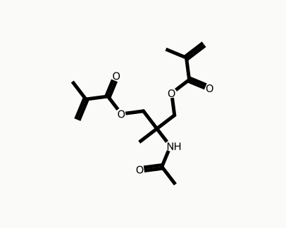 C=C(C)C(=O)OCC(C)(COC(=O)C(=C)C)NC(C)=O